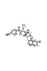 CC(C(=O)Nc1ccc(C#N)cn1)[C@H]1[C@@H]2C[C@H](Oc3ccnc4ccc(F)cc34)C[C@@H]21